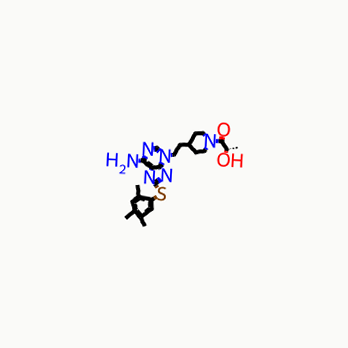 Cc1cc(C)c(Sc2nc3c(N)ncn(CCC4CCN(C(=O)[C@H](C)O)CC4)c-3n2)cc1C